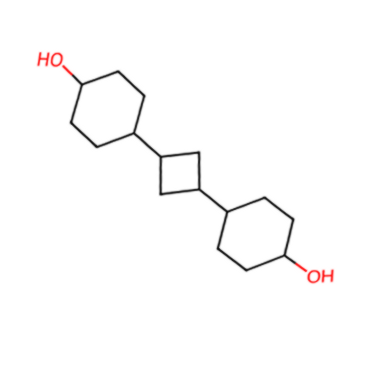 OC1CCC(C2CC(C3CCC(O)CC3)C2)CC1